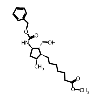 COC(=O)CCCCCC[C@@H]1[C@@H](CO)[C@H](NC(=O)OCc2ccccc2)C[C@@H]1C